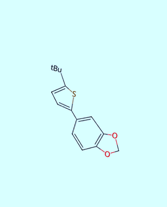 CC(C)(C)c1ccc(-c2ccc3c(c2)OCO3)s1